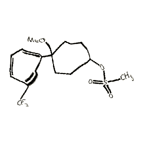 COC1(c2cccc(C(F)(F)F)c2)CCC(OS(C)(=O)=O)CC1